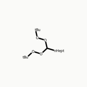 CCCCCCCC(OOC(C)(C)C)OOC(C)(C)C